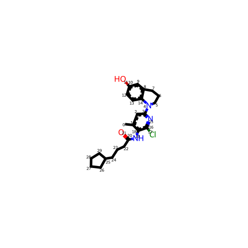 Cc1cc(N2CCCc3cc(O)ccc32)nc(Cl)c1NC(=O)CCCC1CCCC1